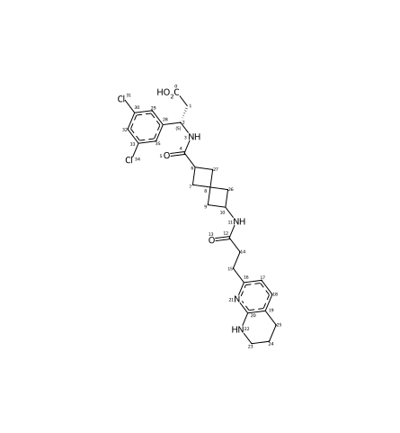 O=C(O)C[C@H](NC(=O)C1CC2(CC(NC(=O)CCc3ccc4c(n3)NCCC4)C2)C1)c1cc(Cl)cc(Cl)c1